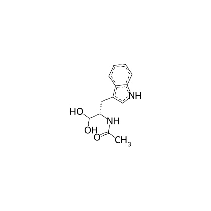 CC(=O)N[C@@H](Cc1c[nH]c2ccccc12)C(O)O